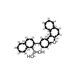 OB(O)c1c(-c2ccc3oc4ccc5ccccc5c4c3c2)ccc2ccccc12